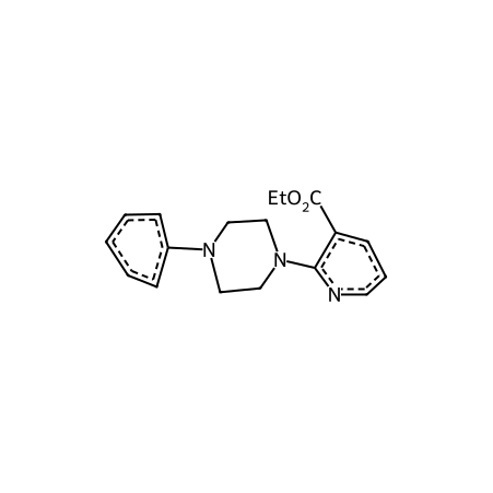 CCOC(=O)c1cccnc1N1CCN(c2ccccc2)CC1